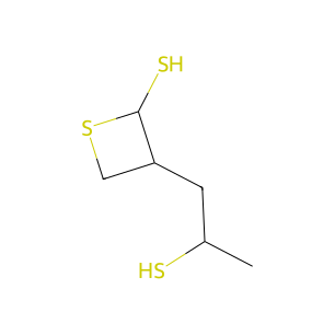 CC(S)CC1CSC1S